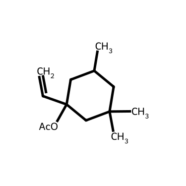 C=CC1(OC(C)=O)CC(C)CC(C)(C)C1